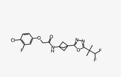 CC(C)(c1nnc(C23CC(NC(=O)COc4ccc(Cl)c(F)c4)(C2)C3)o1)C(F)F